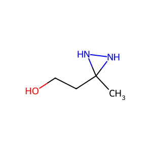 CC1(CCO)NN1